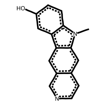 Cn1c2ccc(O)cc2c2cc3cnccc3cc21